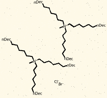 CCCCCCCCCCCCCCCC[N+](C)(CCCCCCCCCCCCCCCC)CCCCCCCCCCCCCCCC.CCCCCCCCCCCCCCCC[N+](C)(CCCCCCCCCCCCCCCC)CCCCCCCCCCCCCCCC.[Br-].[Cl-]